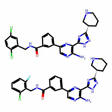 Nc1ncc(-c2cccc(C(=O)NCc3c(F)cccc3Cl)c2)nc1-c1nc([C@H]2CCCNC2)n[nH]1.Nc1ncc(-c2cccc(C(=O)NCc3cc(Cl)ccc3Cl)c2)nc1-c1nc([C@H]2CCCNC2)n[nH]1